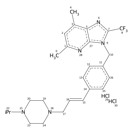 Cc1cc(C)c2nc(C(F)(F)F)n(Cc3ccc(C=CCN4CCN(C(C)C)CC4)cc3)c2n1.Cl.Cl